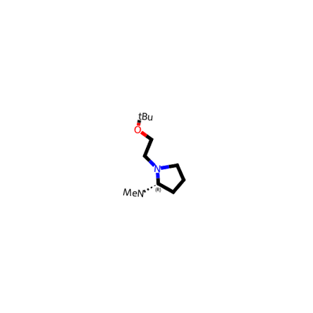 CN[C@H]1CCCN1CCOC(C)(C)C